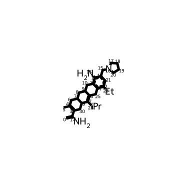 C=C(N)C1=C(C)CC2CC3Cc4c(N)c(CN5CCCC5)cc(CC)c4CC3=C(C(C)C)C2C1